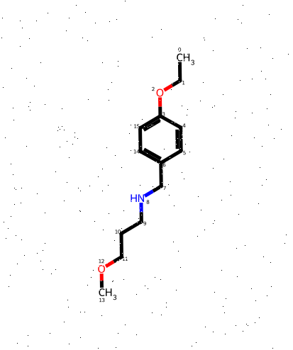 CCOc1ccc(CNCCCOC)cc1